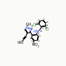 Cn1cc(C#CC(C)(C)C)c(-c2cc([N+](=O)[O-])ccc2NCc2c(Cl)cccc2Cl)n1